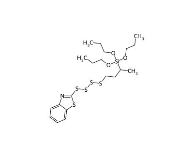 CCCO[Si](OCCC)(OCCC)C(C)CCSSSSc1nc2ccccc2s1